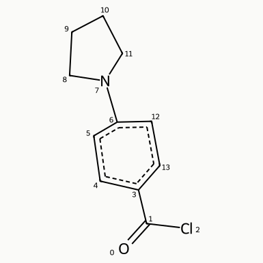 O=C(Cl)c1ccc(N2CCCC2)cc1